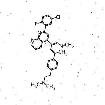 C=N/C=C(\C=C(/C)c1ccc(CCN(C)C)cc1)c1cc(-c2cc(Cl)ccc2F)nc2ncccc12